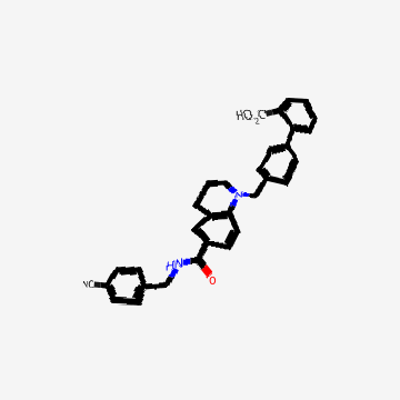 N#Cc1ccc(CNC(=O)c2ccc3c(c2)CCCN3Cc2ccc(-c3ccccc3C(=O)O)cc2)cc1